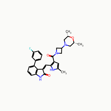 Cc1cc(C(=O)N2CC(N3C[C@@H](C)O[C@@H](C)C3)C2)c(/C=C2\C(=O)Nc3cccc(-c4cccc(F)c4)c32)[nH]1